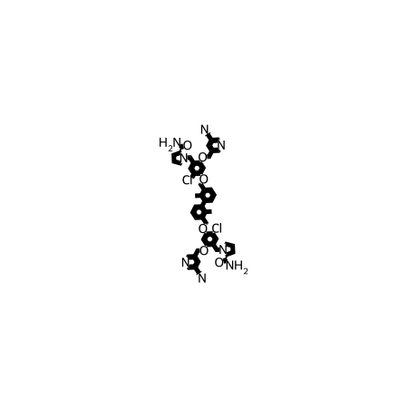 Cc1c(COc2cc(OCc3cncc(C#N)c3)c(CN3CCC[C@H]3C(N)=O)cc2Cl)cccc1-c1cccc(COc2cc(OCc3cncc(C#N)c3)c(CN3CCC[C@H]3C(N)=O)cc2Cl)c1C